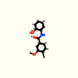 COc1cc(C(=O)Nc2ccccc2O)ccc1C